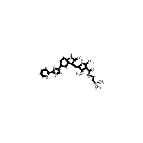 Cc1[nH]c(C=C2C(=O)Nc3ccc(-c4csc(-c5ccccn5)n4)cc32)c(C)c1C(=O)NCCN(C)C